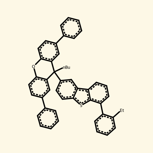 CCCCC1(c2ccc3sc4c(-c5ccccc5CC)cccc4c3c2)c2cc(-c3ccccc3)ccc2Oc2ccc(-c3ccccc3)cc21